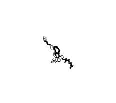 CCC=CCCOc1cccc2c(OC/C=C(\C)CCC=C(C)C)c(OC(C)C)c(=O)oc12